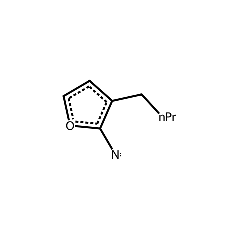 CCCCc1ccoc1[N]